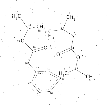 CC(C)CC(=O)OC(C)C.CC(C)OC(=O)Cc1ccccc1